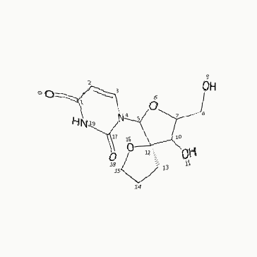 O=c1ccn(C2OC(CO)C(O)[C@]23CCCO3)c(=O)[nH]1